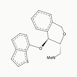 CNC[C@H]1OCc2ccccc2[C@@H]1Oc1cccc2ccsc12